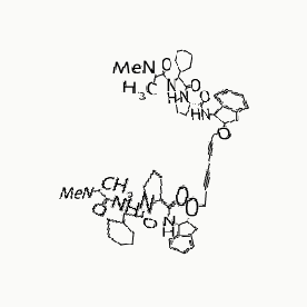 CN[C@@H](C)C(=O)N[C@H](C(=O)N1CCCC1C(=O)N[C@H]1c2ccccc2C[C@H]1OCC#CC#CCO[C@@H]1Cc2ccccc2[C@@H]1NC(=O)[C@@H]1CCCN1C(=O)[C@@H](NC(=O)[C@H](C)NC)C1CCCCC1)C1CCCCC1